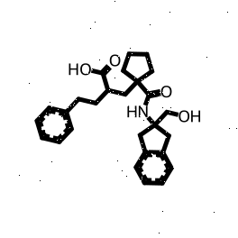 O=C(O)C(CCc1ccccc1)CC1(C(=O)NC2(CO)Cc3ccccc3C2)CCCC1